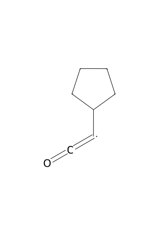 O=C=[C]C1CCCC1